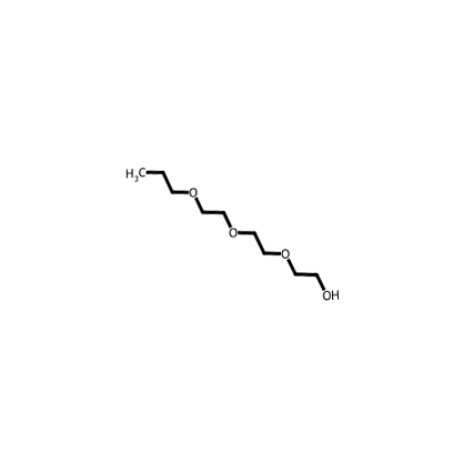 CCCOCCOCCOCCO